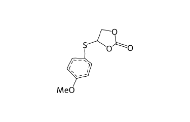 COc1ccc(SC2COC(=O)O2)cc1